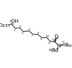 CCCCCCCCC(O)CCCCCCCCCC(=O)N(CCCC)CCCC